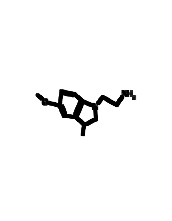 COc1ccc2c(c1)C(C)CN2CCN